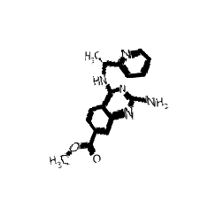 COC(=O)c1ccc2c(N[C@H](C)c3ccccn3)nc(N)nc2c1